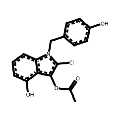 CC(=O)Oc1c(Cl)n(Cc2ccc(O)cc2)c2cccc(O)c12